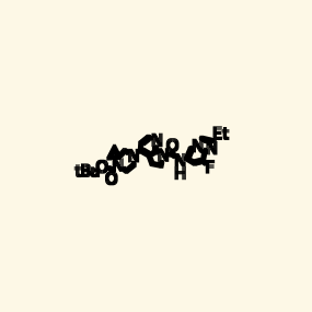 CCc1cn2cc(NC(=O)N3CCc4c(N5CCN(C(=O)OC(C)(C)C)C6(CC6)C5)ccnc43)cc(F)c2n1